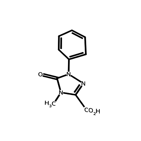 Cn1c(C(=O)O)nn(-c2ccccc2)c1=O